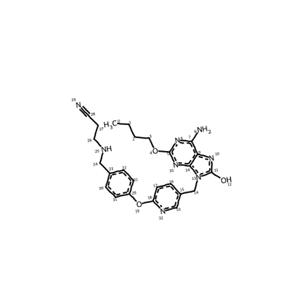 CCCCOc1nc(N)c2nc(O)n(Cc3ccc(Oc4ccc(CNCCC#N)cc4)nc3)c2n1